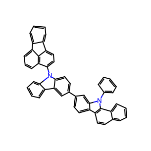 c1ccc(-n2c3cc(-c4ccc5c(c4)c4ccccc4n5-c4ccc5c6c(cccc46)-c4ccccc4-5)ccc3c3ccc4ccccc4c32)cc1